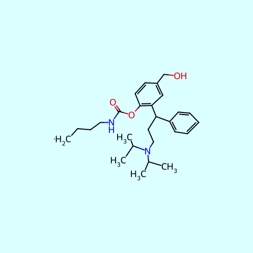 [CH2]CCCNC(=O)Oc1ccc(CO)cc1C(CCN(C(C)C)C(C)C)c1ccccc1